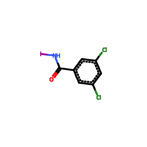 O=C(NI)c1cc(Cl)cc(Cl)c1